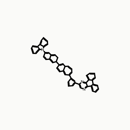 C1=CC2C=C(C3C=c4ccc(-n5c6ccccc6c6ccccc65)cc4=CC3)C=CC2=CC(c2cccc(-c3cnc4c5ccccc5c5ccccc5c4n3)c2)=C1